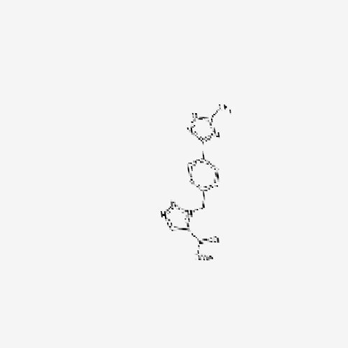 COC(=O)c1cnnn1Cc1ccc(-c2noc(C(F)(F)F)n2)cc1